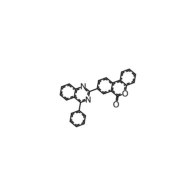 O=c1oc2ccccc2c2ccc(-c3nc(-c4ccccc4)c4ccccc4n3)cc12